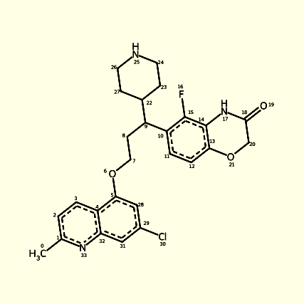 Cc1ccc2c(OCCC(c3ccc4c(c3F)NC(=O)CO4)C3CCNCC3)cc(Cl)cc2n1